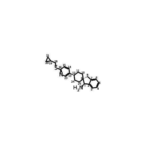 N[C@@H]1c2ccccc2C[C@]12CC[C@H](c1ccc(SCC3CC3)nc1)CC2